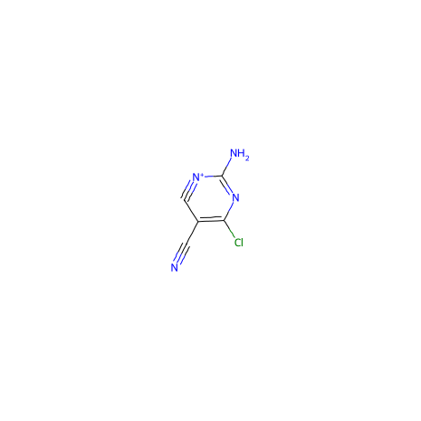 N#Cc1c#[n+]c(N)nc1Cl